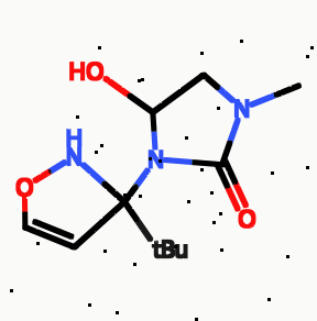 CN1CC(O)N(C2(C(C)(C)C)C=CON2)C1=O